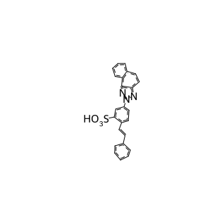 O=S(=O)(O)c1cc(-n2nc3ccc4ccccc4c3n2)ccc1C=Cc1ccccc1